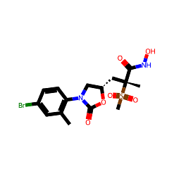 Cc1cc(Br)ccc1N1C[C@H](C[C@](C)(C(=O)NO)S(C)(=O)=O)OC1=O